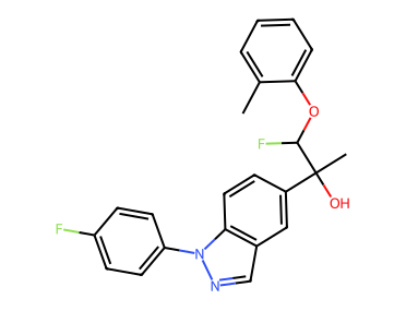 Cc1ccccc1OC(F)C(C)(O)c1ccc2c(cnn2-c2ccc(F)cc2)c1